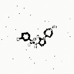 CC(C)N1CCC(N2CC[C@H](NS(=O)(=O)c3cccc(Cl)c3)C2=O)CC1